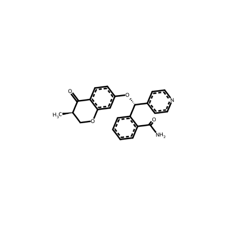 C[C@@H]1COc2cc(O[C@H](c3ccncc3)c3ccccc3C(N)=O)ccc2C1=O